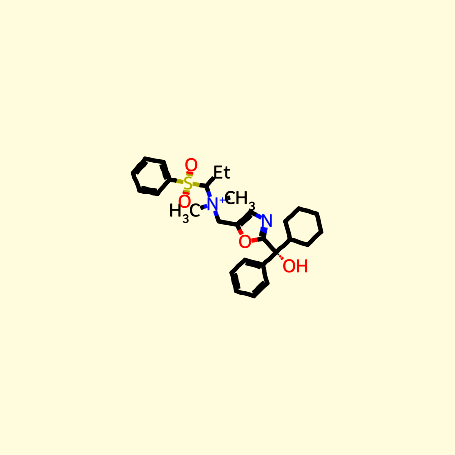 CCC([N+](C)(C)Cc1cnc([C@](O)(c2ccccc2)C2CCCCC2)o1)S(=O)(=O)c1ccccc1